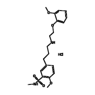 CNS(=O)(=O)c1cc(CCCNCCOc2ccccc2OC)ccc1OC.Cl